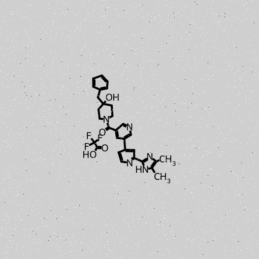 Cc1nc(-c2cc(-c3cncc(C(=O)N4CCC(O)(Cc5ccccc5)CC4)c3)ccn2)[nH]c1C.O=C(O)C(F)(F)F